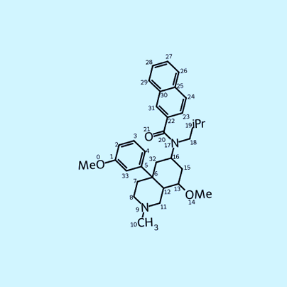 COc1cccc(C23CCN(C)CC2C(OC)CC(N(CC(C)C)C(=O)c2ccc4ccccc4c2)C3)c1